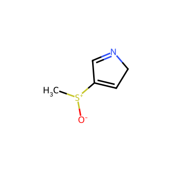 C[S+]([O-])C1=CCN=C1